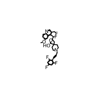 COc1ccc2ncc(CF)c([C@@H](F)CCC3(C(=O)O)CCN(CC#Cc4c(F)cc(F)cc4F)CC3)c2c1